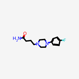 NC(=O)CCCN1CCN(c2ccc(F)cc2)CC1